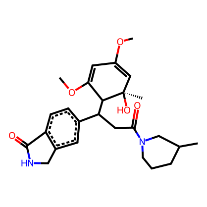 COC1=C[C@@](C)(O)C(C(CC(=O)N2CCCC(C)C2)c2ccc3c(c2)CNC3=O)C(OC)=C1